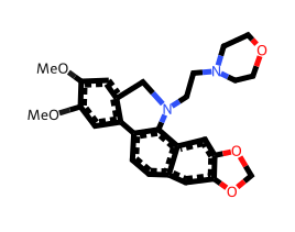 COc1cc2c(cc1OC)-c1ccc3cc4c(cc3c1N(CCN1CCOCC1)C2)OCO4